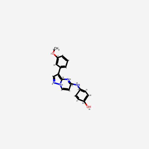 COc1cccc(-c2cnn3ccc(Nc4ccc(O)cc4)nc23)c1